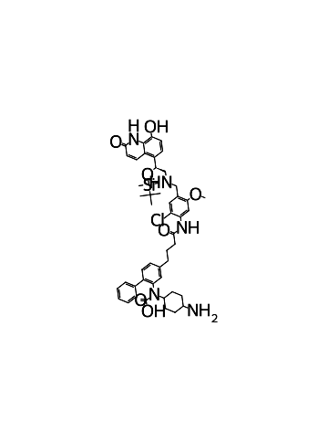 COc1cc(NC(=O)CCCc2ccc(-c3ccccc3)c(N(C(=O)O)C3CCC(N)CC3)c2)c(Cl)cc1CNC[C@@H](O[Si](C)(C)C(C)(C)C)c1ccc(O)c2[nH]c(=O)ccc12